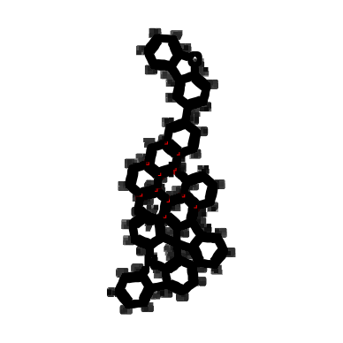 c1ccc(-c2ccccc2-c2ccccc2N(c2ccc(-c3ccc4oc5ccccc5c4c3)cc2)c2ccccc2-c2ccc3c(c2)C2(c4ccccc4-3)c3ccccc3-n3c4ccccc4c4cccc2c43)cc1